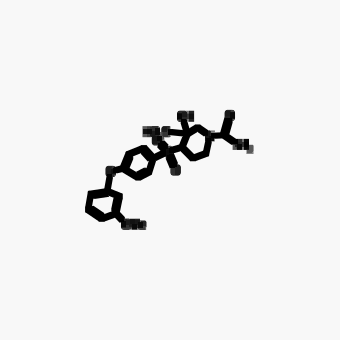 COc1cccc(Oc2ccc(S(=O)(=O)C3CCN(C(N)=O)CC3(O)C(=O)O)cc2)c1